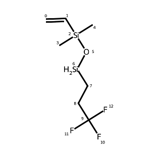 C=C[Si](C)(C)O[SiH2]CCC(F)(F)F